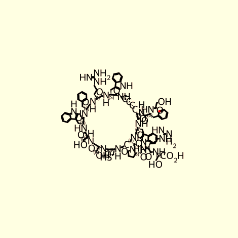 C[C@@H](O)[C@@H]1NC(=O)[C@H](CS)NC(=O)C[C@@H](C(=O)N2CCC[C@H]2C(=O)N[C@@H](CCCNC(=N)N)C(=O)N[C@@H](CO)C(=O)O)NC(=O)[C@H](Cc2c[nH]c3ccccc23)NC(=O)[C@@H](NC(=O)[C@H](Cc2ccccc2)NC(=O)CO)CCCCNC(=O)[C@H](Cc2c[nH]c3ccccc23)NC(=O)[C@H](CCCNC(=N)N)NC(=O)[C@H](Cc2ccccc2)NC(=O)[C@H](Cc2c[nH]c3ccccc23)NC(=O)[C@H]([C@@H](C)O)NC1=O